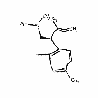 C=C(C(C)C)[C@H](CN(C)C(C)C)c1ccc(C)cc1F